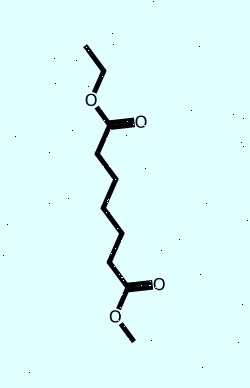 CCOC(=O)CCCCCC(=O)OC